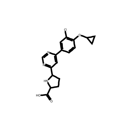 O=C(O)C1CCC(c2cc(-c3ccc(OC4CC4)c(Cl)c3)ncn2)N1